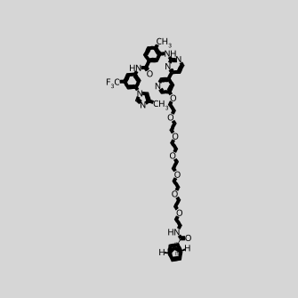 Cc1cn(-c2cc(NC(=O)c3ccc(C)c(Nc4nccc(-c5cncc(OCCOCCOCCOCCOCCOCCOCCNC(=O)[C@H]6C[C@H]7C=C[C@@H]6C7)c5)n4)c3)cc(C(F)(F)F)c2)cn1